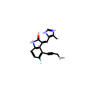 CNCC#Cc1c(F)ccc2c1C(=Cc1[nH]cnc1C)C(=O)N2